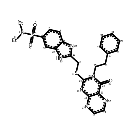 CCN(CC)S(=O)(=O)c1ccc2nc(CSc3nc4nccnc4c(=O)n3CCc3ccccc3)[nH]c2c1